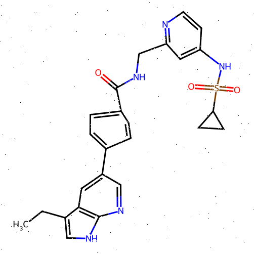 CCc1c[nH]c2ncc(-c3ccc(C(=O)NCc4cc(NS(=O)(=O)C5CC5)ccn4)cc3)cc12